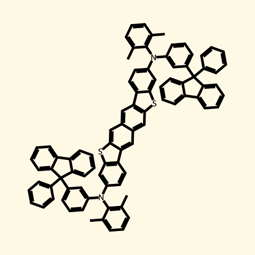 Cc1cccc(C)c1N(c1cccc(C2(c3ccccc3)c3ccccc3-c3ccccc32)c1)c1ccc2c(c1)sc1cc3cc4c(cc3cc12)sc1cc(N(c2cccc(C3(c5ccccc5)c5ccccc5-c5ccccc53)c2)c2c(C)cccc2C)ccc14